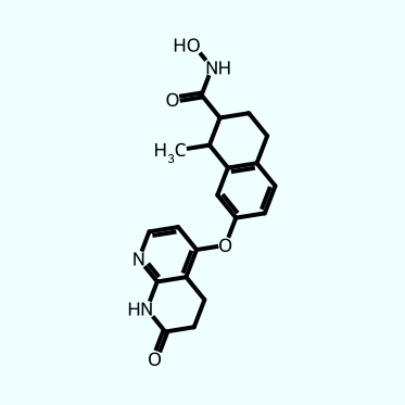 CC1c2cc(Oc3ccnc4c3CCC(=O)N4)ccc2CCC1C(=O)NO